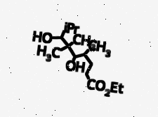 CCOC(=O)CCC(C)C(O)C(C)(C)C(O)C(C)C